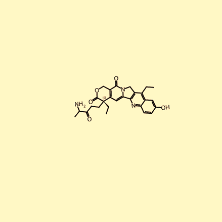 CCc1c2c(nc3ccc(O)cc13)-c1cc3c(c(=O)n1C2)COC(=O)[C@@]3(CC)CCC(=O)C(C)N